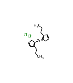 CCCC1=[C]([Zr+2][C]2=C(CCC)C=CC2)CC=C1.[Cl-].[Cl-]